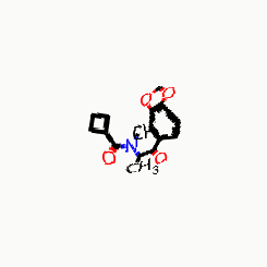 CC(C(=O)c1ccc2c(c1)OCO2)N(C)C(=O)C1CCC1